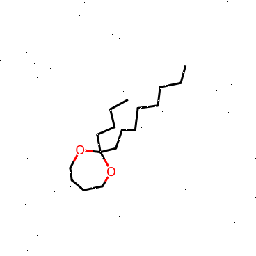 CCCCCCCCC1(CCCC)OCCCCO1